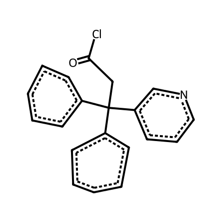 O=C(Cl)CC(c1ccccc1)(c1ccccc1)c1cccnc1